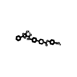 O=C(Nc1ccc(C2CCN(C(=O)Oc3ccc([N+](=O)[O-])cc3)CC2)cc1)c1nc(-c2ccccc2)oc1C(F)(F)F